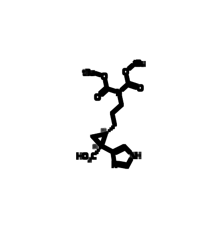 CC(C)(C)OC(=O)N(CCC[C@H]1C[C@]1(C(=O)O)c1c[nH]cn1)C(=O)OC(C)(C)C